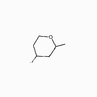 [CH2]C1CCOC(C)C1